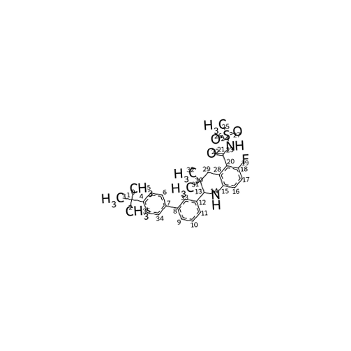 CC(C)(C)c1ccc(-c2cccc(C3Nc4ccc(F)c(C(=O)NS(C)(=O)=O)c4CC3(C)C)c2)cc1